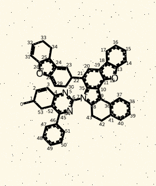 CC1C=Cc2nc(-n3c4c(c5c6oc7ccccc7c6cc(C6C=c7c8c(oc7=CC6)C=CCC8)c53)-c3ccccc3CC4)nc(-c3ccccc3)c2C1